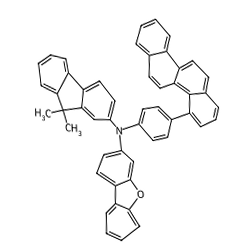 CC1(C)c2ccccc2-c2ccc(N(c3ccc(-c4cccc5ccc6c7ccccc7ccc6c45)cc3)c3ccc4c(c3)oc3ccccc34)cc21